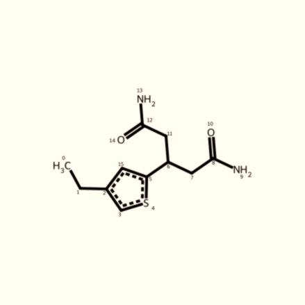 CCc1csc(C(CC(N)=O)CC(N)=O)c1